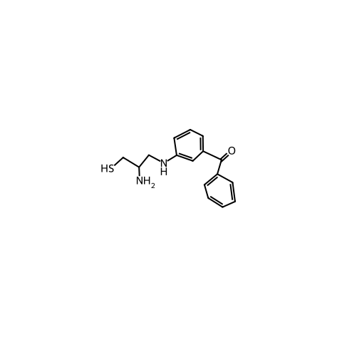 NC(CS)CNc1cccc(C(=O)c2ccccc2)c1